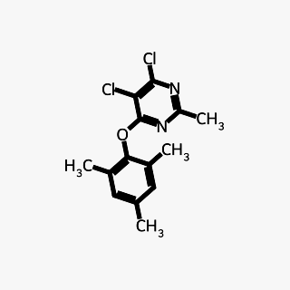 Cc1cc(C)c(Oc2nc(C)nc(Cl)c2Cl)c(C)c1